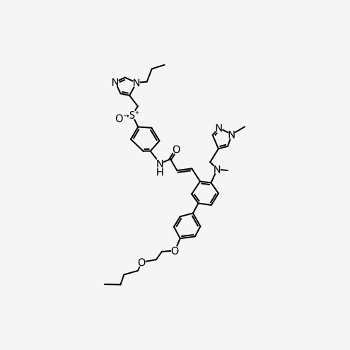 CCCCOCCOc1ccc(-c2ccc(N(C)Cc3cnn(C)c3)c(C=CC(=O)Nc3ccc([S@@+]([O-])Cc4cncn4CCC)cc3)c2)cc1